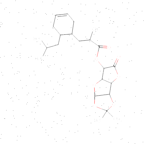 CC(C)CC1CC=CCC1CC(C)C(=O)OC1C(=O)OC2C3OC(C)(C)OC3OC12